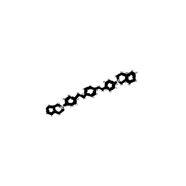 c1ccc2c(c1)CCN(c1ccc(CCc3ccc(CCc4ccc(N5CCc6ccccc6C5)cc4)cc3)cc1)C2